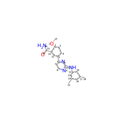 COc1ccc(-c2ccnc(Nc3cc(C)cc(C)c3)n2)cc1C(N)=O